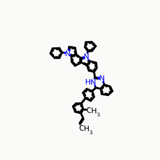 CC=Cc1cccc(-c2ccc(C3NC(c4ccc5c(c4)c4ccc6c(ccn6-c6ccccc6)c4n5-c4ccccc4)=Nc4ccccc43)cc2)c1C